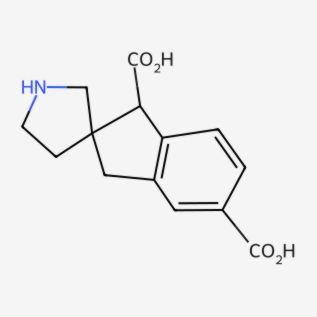 O=C(O)c1ccc2c(c1)CC1(CCNC1)C2C(=O)O